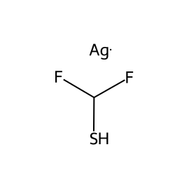 FC(F)S.[Ag]